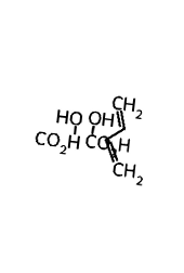 C=CC=C.O=C(O)O.O=C(O)O